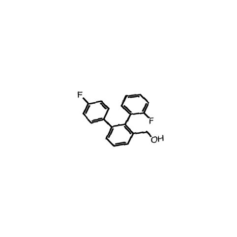 OCc1cccc(-c2ccc(F)cc2)c1-c1ccccc1F